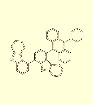 c1ccc(-c2c3ccccc3c(-c3ccc(-c4cccc5oc6ccccc6c45)c4oc5ccccc5c34)c3ccccc23)cc1